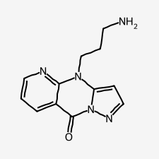 NCCCn1c2ncccc2c(=O)n2nccc12